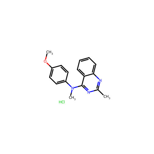 COc1ccc(N(C)c2nc(C)nc3ccccc23)cc1.Cl